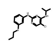 CCCSc1cccc(Nc2ncc(Cl)c(NC(C)C)n2)c1